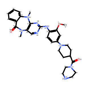 CCOc1cc(N2CCC(C(=O)N3CCNCC3)CC2)ccc1Nc1ncc2c(n1)N(C)c1ccccc1C(=O)N2C